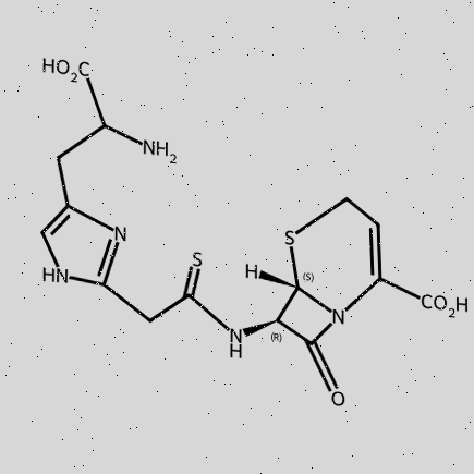 NC(Cc1c[nH]c(CC(=S)N[C@@H]2C(=O)N3C(C(=O)O)=CCS[C@@H]23)n1)C(=O)O